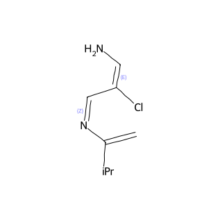 C=C(/N=C\C(Cl)=C/N)C(C)C